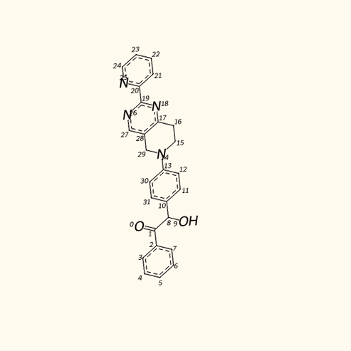 O=C(c1ccccc1)C(O)c1ccc(N2CCc3nc(-c4ccccn4)ncc3C2)cc1